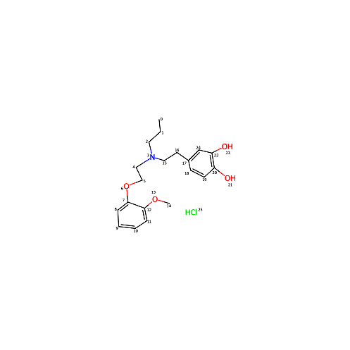 CCCN(CCOc1ccccc1OC)CCc1ccc(O)c(O)c1.Cl